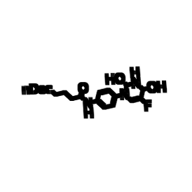 CCCCCCCCCCCCCC(=O)Nc1ccc(N2C=C(F)C(O)NC2O)cc1